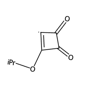 CC(C)Oc1[c]c(=O)c1=O